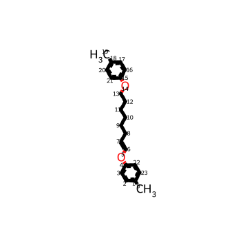 Cc1ccc(OC=CCCCCCCOc2ccc(C)cc2)cc1